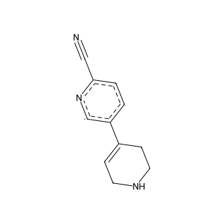 N#Cc1ccc(C2=CCNCC2)[c]n1